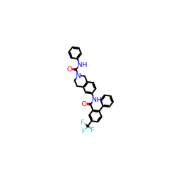 O=C(Nc1ccc2c(c1)CCN(C(=O)Nc1ccccc1)C2)c1cc(C(F)(F)F)ccc1-c1ccccc1